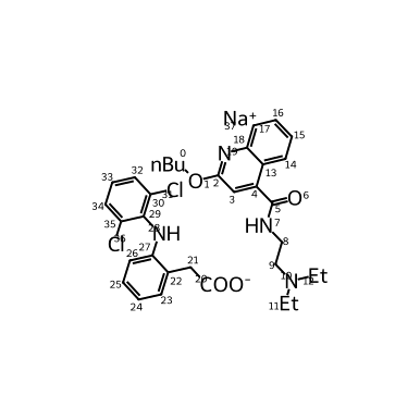 CCCCOc1cc(C(=O)NCCN(CC)CC)c2ccccc2n1.O=C([O-])Cc1ccccc1Nc1c(Cl)cccc1Cl.[Na+]